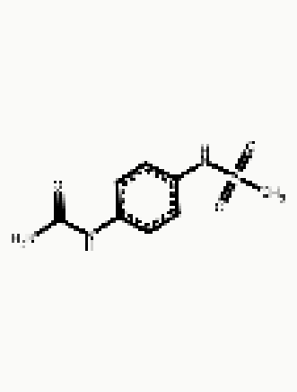 CS(=O)(=O)Nc1ccc(NC(N)=O)cc1